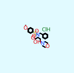 COc1ccc(S(=O)(=O)N(Cc2ccccc2)C(CCN2CCOCC2)C(=O)O)cc1.Cl